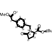 COC(=O)Cc1ccc(CN2C(=O)CC[C@@H]2C(=O)OC(C)(C)C)cc1